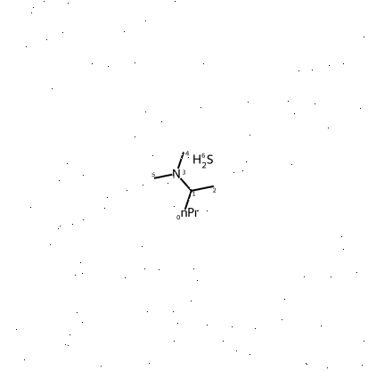 CCCC(C)N(C)C.S